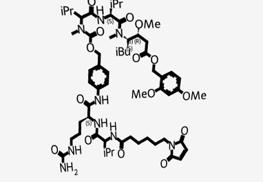 CC[C@H](C)[C@@H]([C@@H](CC(=O)OCc1ccc(OC)cc1OC)OC)N(C)C(=O)[C@@H](NC(=O)C(C(C)C)N(C)C(=O)OCc1ccc(NC(=O)[C@H](CCCNC(N)=O)NC(=O)C(NC(=O)CCCCCN2C(=O)C=CC2=O)C(C)C)cc1)C(C)C